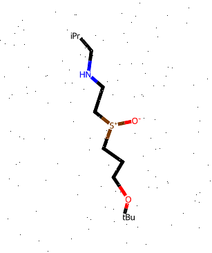 CC(C)CNCC[S+]([O-])CCCOC(C)(C)C